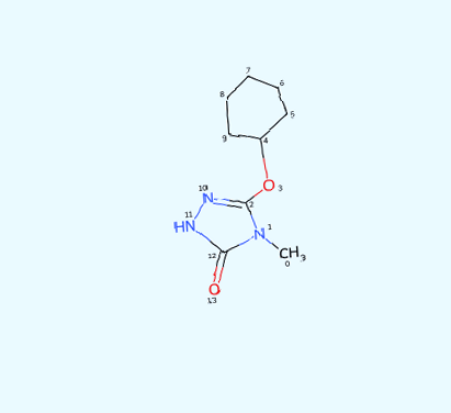 Cn1c(OC2CCCCC2)n[nH]c1=O